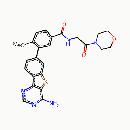 COc1ccc(C(=O)NCC(=O)N2CCOCC2)cc1-c1ccc2c(c1)sc1c(N)ncnc12